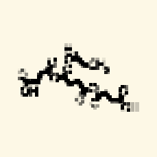 CCCC.O=C(O)CCC(=O)OC(=O)CCC(=O)OC(=O)CCC(=O)O